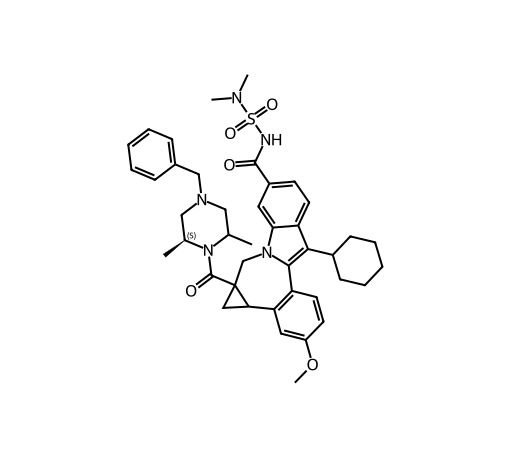 COc1ccc2c(c1)C1CC1(C(=O)N1C(C)CN(Cc3ccccc3)C[C@@H]1C)Cn1c-2c(C2CCCCC2)c2ccc(C(=O)NS(=O)(=O)N(C)C)cc21